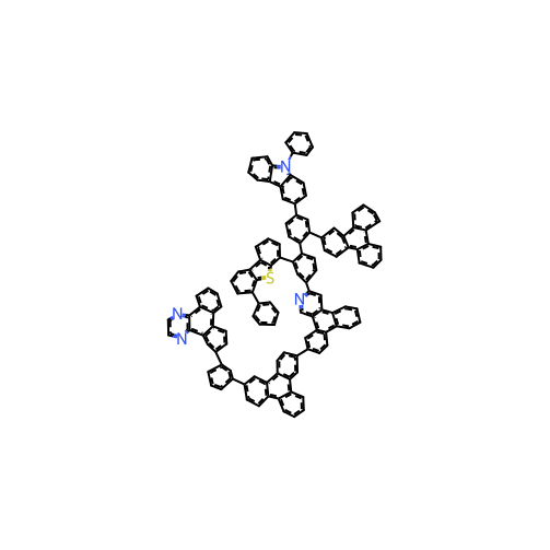 c1ccc(-c2cccc3c2sc2c(-c4cc(-c5cc6c7ccccc7c7ccc(-c8ccc9c%10cc(-c%11cccc(-c%12ccc%13c%14ccccc%14c%14nccnc%14c%13c%12)c%11)ccc%10c%10ccccc%10c9c8)cc7c6cn5)ccc4-c4ccc(-c5ccc6c(c5)c5ccccc5n6-c5ccccc5)cc4-c4ccc5c6ccccc6c6ccccc6c5c4)cccc23)cc1